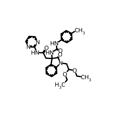 CCOC(CN1C(=O)C(CC(=O)Nc2ncccn2)(NC(=O)Nc2ccc(C)cc2)c2ccccc21)OCC